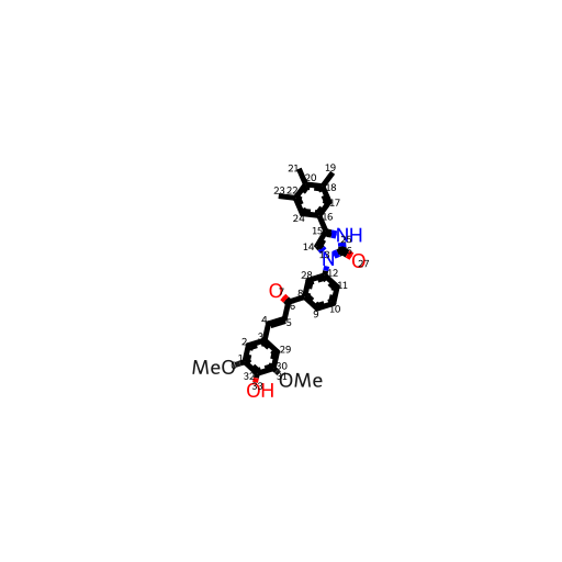 COc1cc(/C=C/C(=O)c2cccc(-n3cc(-c4cc(C)c(C)c(C)c4)[nH]c3=O)c2)cc(OC)c1O